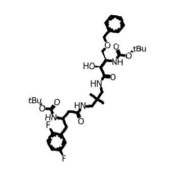 CC(C)(CNC(=O)CC(Cc1cc(F)ccc1F)NC(=O)OC(C)(C)C)CNC(=O)[C@@H](O)[C@@H](COCc1ccccc1)NC(=O)OC(C)(C)C